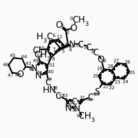 COC(=O)c1c(C)c2c3c(Cl)ccc2n1CCCOc1cc(cc2ccccc12)SCc1cc(nn1C)CNCc1nn(C2CCCCO2)c(C)c1-3